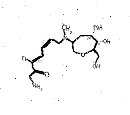 CC/C(=C\C=C/CN(C)C1COC(CO)[C@@H](O)[C@@H](O)C1)C(=O)CN